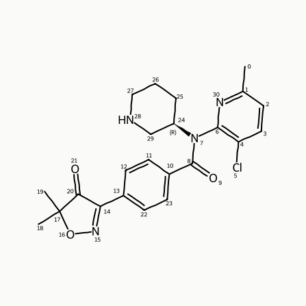 Cc1ccc(Cl)c(N(C(=O)c2ccc(C3=NOC(C)(C)C3=O)cc2)[C@@H]2CCCNC2)n1